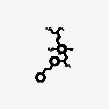 CCN(C)/C=N/c1cc(Br)c(OC(C)c2cccc(CCc3ccccc3)c2)nc1C